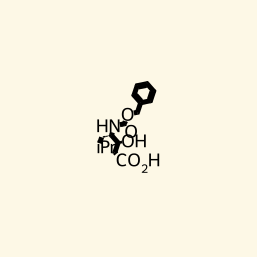 CC(C)C[C@H](NC(=O)OCc1ccccc1)[C@@H](O)CC(=O)O